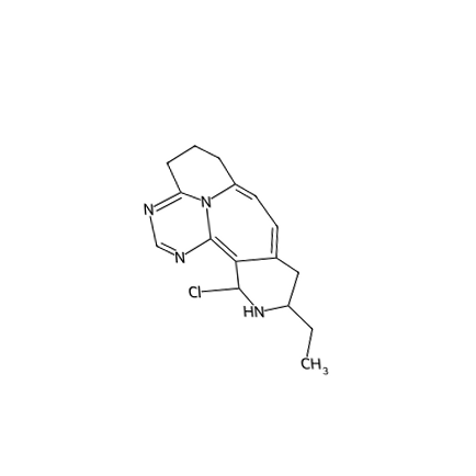 CCC1CC2=CC=C3CCCC4=NC=NC(=C2C(Cl)N1)N34